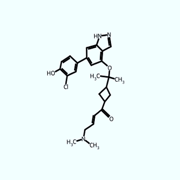 CN(C)C/C=C/C(=O)C1CC(C(C)(C)Oc2cc(-c3ccc(O)c(Cl)c3)cc3[nH]ncc23)C1